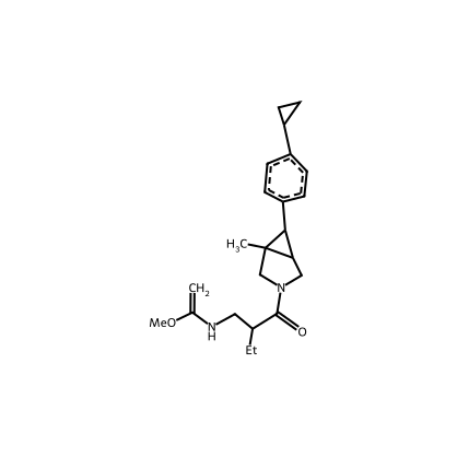 C=C(NCC(CC)C(=O)N1CC2C(c3ccc(C4CC4)cc3)C2(C)C1)OC